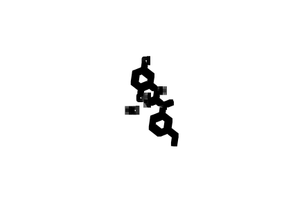 CCc1cccc(N(C)C(=N)Nc2cc(Cl)ccc2Cl)c1.Cl